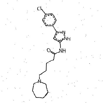 O=C(CCCCN1CCCCCC1)Nc1cc(-c2ccc(Cl)cc2)n[nH]1